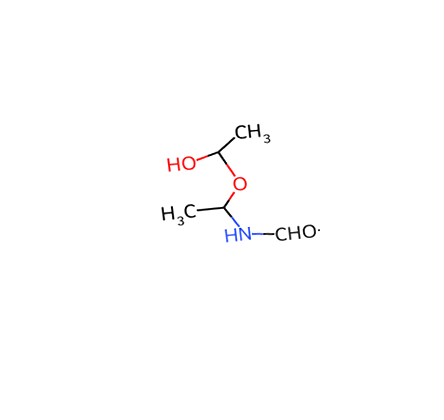 CC(O)OC(C)N[C]=O